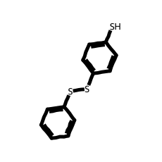 Sc1ccc(SSc2ccccc2)cc1